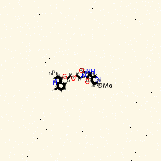 CCCc1cnc2c(C)cccc2c1OCCOCCN1C(=O)NC(C)(c2ccc(OC)nc2)C1=O